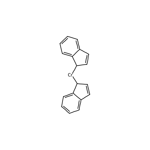 C1=C[CH]([Cr][CH]2C=Cc3ccccc32)c2ccccc21